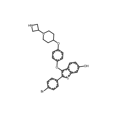 Oc1ccc2c(Oc3ccc(OC4CCN(C5CNC5)CC4)cc3)c(-c3ccc(Br)cc3)sc2c1